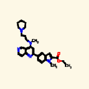 CCOC(=O)c1cc2cc(-c3cc(N(C)CCCN4CCCCC4)c4cnccc4n3)ccc2n1C